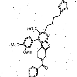 COc1ccc(-c2c(C(=O)O)c(CCCCn3cncn3)nc3sc4c(c23)CCN(C(=O)c2ccc(Cl)cc2)C4)cc1OC